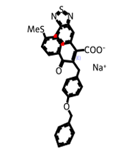 CSc1ccc(C(=O)/C(Cc2ccc(OCc3ccccc3)cc2)=C(/C(=O)[O-])c2ccc3nsnc3c2)cc1.[Na+]